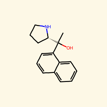 CC(O)(c1cccc2ccccc12)[C@@H]1CCCN1